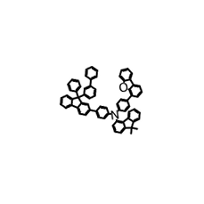 CC1(C)c2ccccc2-c2c(N(c3ccc(-c4ccc5c(c4)C(c4ccccc4)(c4cccc(-c6ccccc6)c4)c4ccccc4-5)cc3)c3ccc(-c4cccc5c4oc4ccccc45)cc3)cccc21